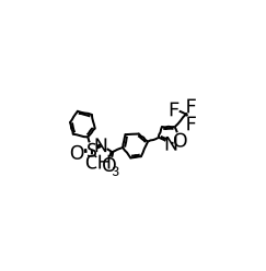 CS(=O)(=NC(=O)c1ccc(-c2cc(C(F)(F)F)on2)cc1)c1ccccc1